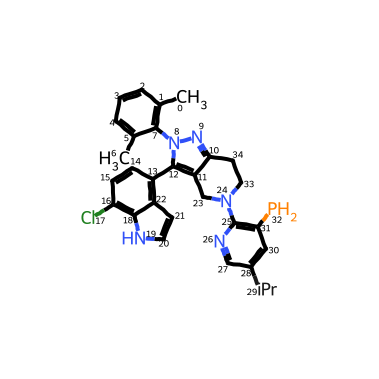 Cc1cccc(C)c1-n1nc2c(c1-c1ccc(Cl)c3[nH]ccc13)CN(c1ncc(C(C)C)cc1P)CC2